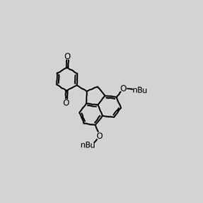 CCCCOc1ccc2c(OCCCC)ccc3c2c1CC3C1=CC(=O)C=CC1=O